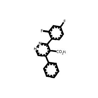 O=C(O)c1c(-c2ccccc2)cnnc1-c1ccc(F)cc1F